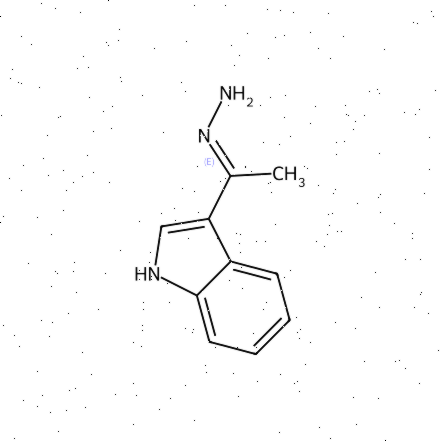 C/C(=N\N)c1c[nH]c2ccccc12